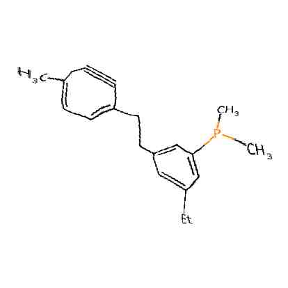 CCc1cc(CCc2c#cc(C)cc2)cc(P(C)C)c1